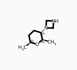 C[C@H]1CC[C@H](N2CNC2)[C@@H](C)O1